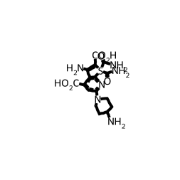 NC(=O)S1(C(N)=O)C(C(=O)O)=C(N)c2c(C(=O)O)cc(N3CCC(N)CC3)nc21